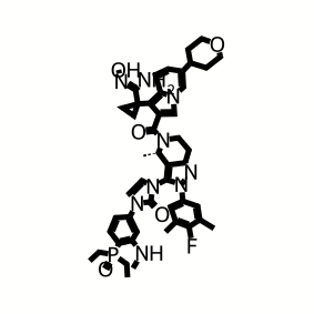 CCP(=O)(CC)c1ccc(-n2ccn(-c3c4c(nn3-c3cc(C)c(F)c(C)c3)CCN(C(=O)c3cn5cc(C6CCOCC6)ccc5c3C3(/C(N)=N/O)CC3)[C@H]4C)c2=O)cc1NC